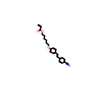 C=CC(=O)OCCCCCCOc1ccc(/C=C/c2ccc(C#N)cc2)cc1